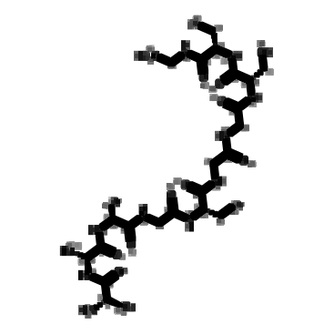 CC[C@H](C)[C@H](N)C(=O)N[C@H](C(=O)N[C@H](C(=O)NCC(=O)N[C@@H](CC(C)C)C(=O)NCC(=O)NCC(=O)N[C@@H](CO)C(=O)N[C@@H](CC(C)C)C(=O)NCC(=O)O)C(C)C)[C@@H](C)CC